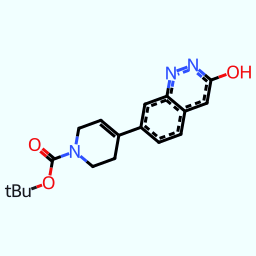 CC(C)(C)OC(=O)N1CC=C(c2ccc3cc(O)nnc3c2)CC1